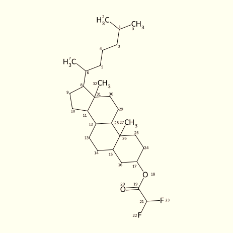 CC(C)CCCC(C)C1CCC2C3CCC4CC(OC(=O)C(F)F)CCC4(C)C3CCC12C